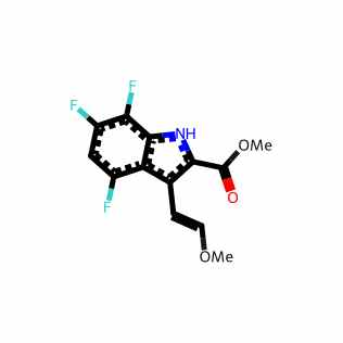 COC=Cc1c(C(=O)OC)[nH]c2c(F)c(F)cc(F)c12